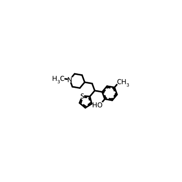 Cc1ccc(O)c(C(CC2CCN(C)CC2)c2cccs2)c1